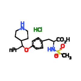 CCCC(Oc1ccc(CC(NS(C)(=O)=O)C(=O)O)cc1)C1CCNCC1.Cl